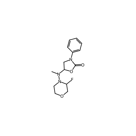 CN(C1CN(c2ccccc2)C(=O)O1)N1CCOCC1F